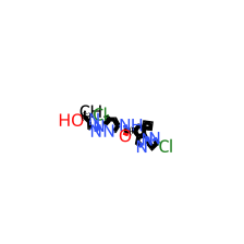 C[C@H](O)c1cnn(-c2ncc(NC(=O)[C@@H]3CC4(CCC4)c4c3cnc3cc(Cl)nn43)cc2Cl)n1